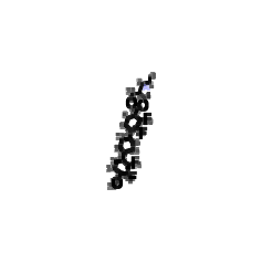 C/C=C/C1COC(c2ccc(-c3ccc(-c4ccc(OC)c(F)c4F)cc3)c(F)c2F)OC1